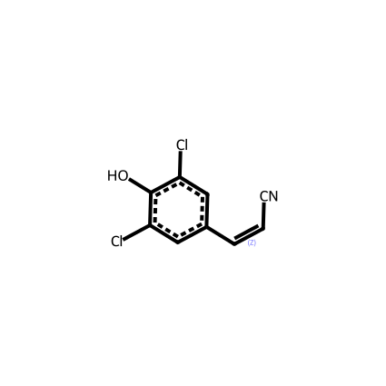 N#C/C=C\c1cc(Cl)c(O)c(Cl)c1